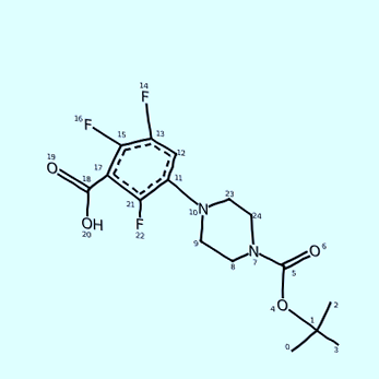 CC(C)(C)OC(=O)N1CCN(c2cc(F)c(F)c(C(=O)O)c2F)CC1